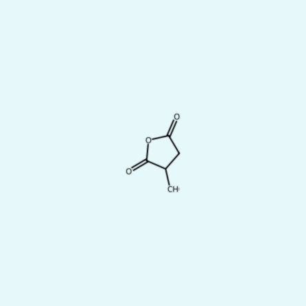 [CH]C1CC(=O)OC1=O